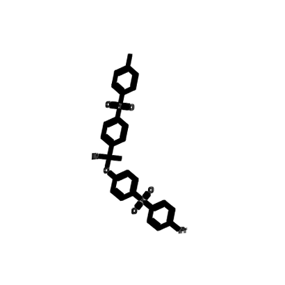 CCC(C)(Oc1ccc(S(=O)(=O)c2ccc(C(C)C)cc2)cc1)c1ccc(S(=O)(=O)c2ccc(C)cc2)cc1